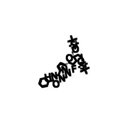 CC(C)(C)[Si](C)(C)OC[C@@]1(CI)O[C@@H](c2ccc3c(NC(=O)c4ccccc4)ncnn23)[C@H](F)[C@@H]1O[Si](C)(C)C(C)(C)C